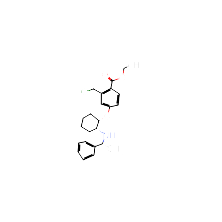 CCOC(=O)c1ccc(O[C@H]2CCCC[C@@H]2N[C@H](C)c2ccccc2)cc1CCl